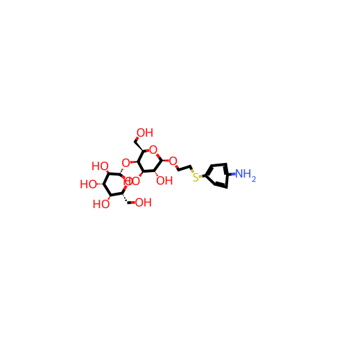 Nc1ccc(SCCO[C@@H]2O[C@H](CO)[C@H](O[C@@H]3O[C@H](CO)[C@H](O)[C@H](O)[C@H]3O)[C@H](O)[C@H]2O)cc1